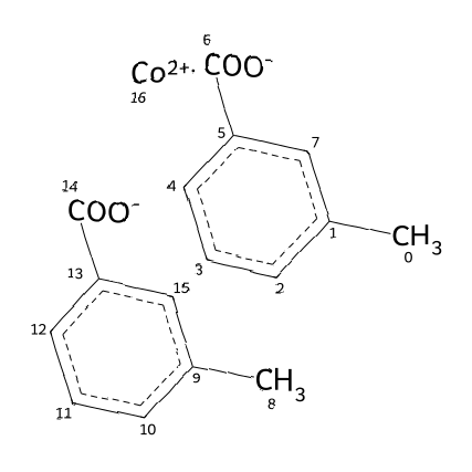 Cc1cccc(C(=O)[O-])c1.Cc1cccc(C(=O)[O-])c1.[Co+2]